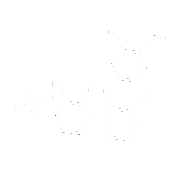 CCCCCCCCCc1ccccc1O.CCCCCCCCCc1ccccc1O.CCCCCCCCCc1ccccc1O.O=P(O)(O)O